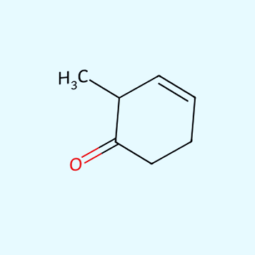 CC1C=CCCC1=O